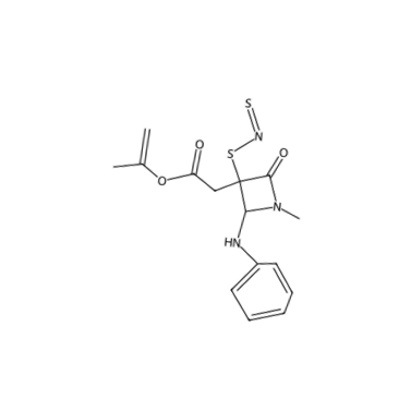 C=C(C)OC(=O)CC1(SN=S)C(=O)N(C)C1Nc1ccccc1